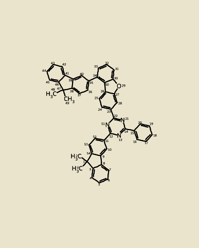 CC1(C)c2ccccc2-c2cc(-c3nc(-c4ccccc4)nc(-c4ccc5c(c4)oc4cccc(-c6ccc7c(c6)-c6ccccc6C7(C)C)c45)n3)ccc21